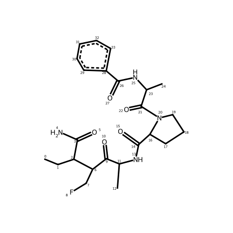 CCC(C(N)=O)C(CF)C(=O)C(C)NC(=O)C1CCCN1C(=O)C(C)NC(=O)c1ccccc1